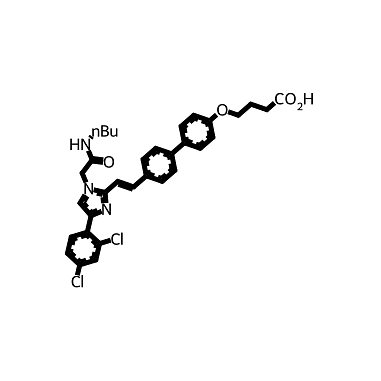 CCCCNC(=O)Cn1cc(-c2ccc(Cl)cc2Cl)nc1C=Cc1ccc(-c2ccc(OCCCC(=O)O)cc2)cc1